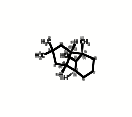 CC1(C)C[C@H]2[C@@H]3CCC[C@](C)(C3O)[C@H]2C1